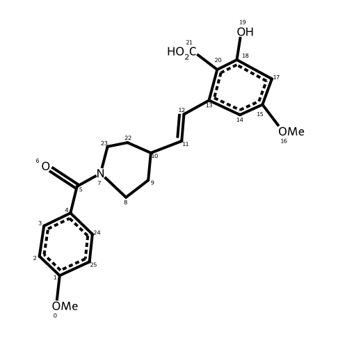 COc1ccc(C(=O)N2CCC(/C=C/c3cc(OC)cc(O)c3C(=O)O)CC2)cc1